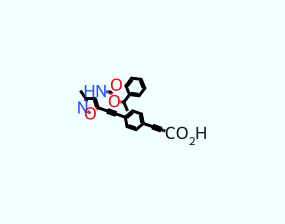 Cc1noc(C#Cc2ccc(C#CC(=O)O)cc2)c1NC(=O)OC(C)c1ccccc1